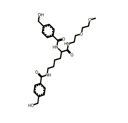 COCCOCCNC(=O)C(CCCCNC(=O)c1ccc(CO)cc1)NC(=O)c1ccc(CO)cc1